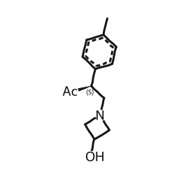 CC(=O)[C@H](CN1CC(O)C1)c1ccc(C)cc1